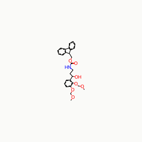 COCOc1cccc(C(O)CCNC(=O)OCC2c3ccccc3-c3ccccc32)c1OCOC